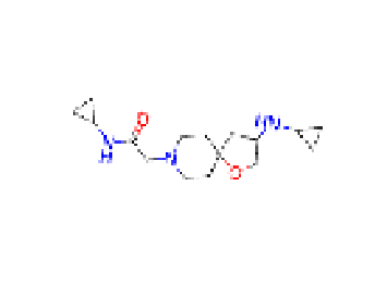 O=C(CN1CCC2(CC1)CC(NC1CC1)CO2)NC1CC1